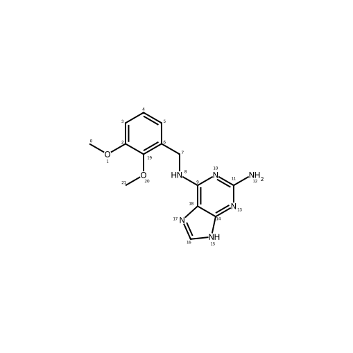 COc1cccc(CNc2nc(N)nc3[nH]cnc23)c1OC